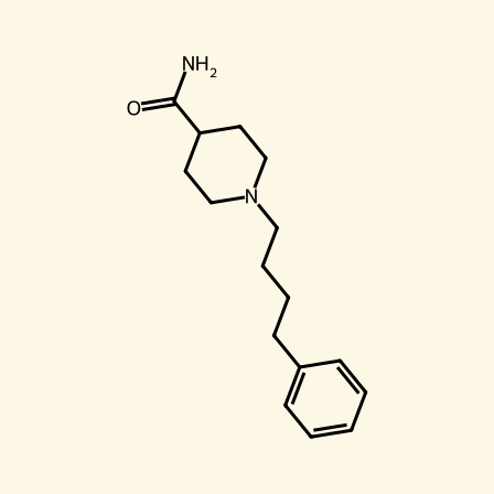 NC(=O)C1CCN(CCCCc2ccccc2)CC1